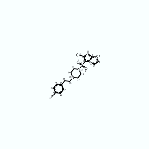 O=S(=O)(c1c(Cl)nc2sccn12)N1CCN(CCc2ccc(F)cc2)CC1